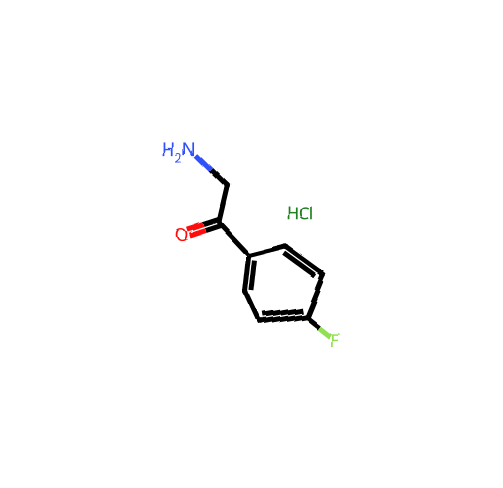 Cl.NCC(=O)c1ccc(F)cc1